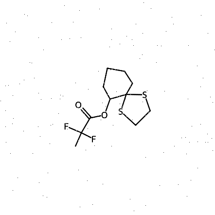 CC(F)(F)C(=O)OC1CCCCC12SCCS2